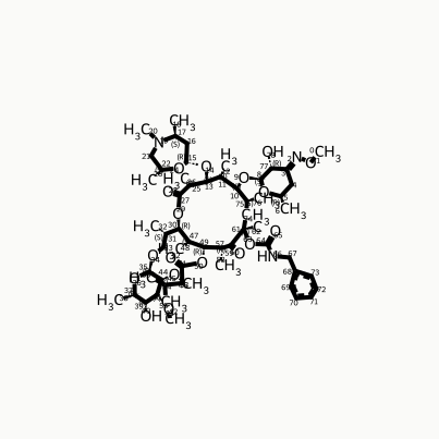 CON=C1C[C@@H](C)O[C@@H](O[C@@H]2[C@@H](C)[C@H](O[C@H]3C[C@H](C)N(C)C[C@H](C)O3)[C@@H](C)C(=O)O[C@H]([C@@H](C)CO[C@@H]3O[C@H](C)[C@@H](O)[C@@H](OC)[C@H]3OC)[C@H](C)[C@@H](OC(=O)CC(C)C)[C@@H](C)C(=O)[C@@](C)(OC(=O)NCc3ccccc3)C[C@@H]2C)[C@@H]1O